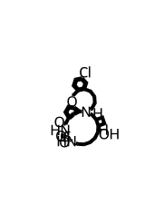 O=C1NS(=O)(=O)NCCCCC(O)[C@@H]2CC[C@H]2CN2CCCCc3cc(Cl)ccc3COc3ccc1cc32